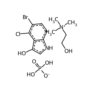 C[N+](C)(C)CCO.O=P([O-])(O)O.Oc1c[nH]c2ccc(Br)c(Cl)c12